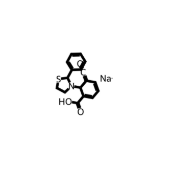 O=C=C1C=CC=C(C(=O)O)C1N1CCSC1c1ccccc1.[Na]